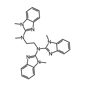 CN(CCN(c1nc2ccccc2n1C)c1nc2ccccc2n1C)c1nc2ccccc2n1C